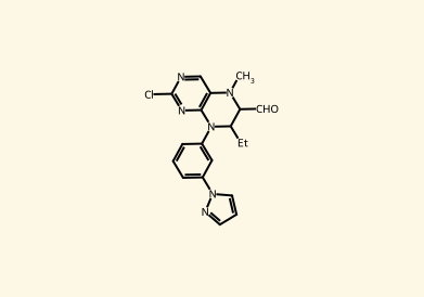 CCC1C(C=O)N(C)c2cnc(Cl)nc2N1c1cccc(-n2cccn2)c1